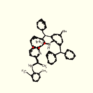 Cc1cccc(C)c1NC(C)c1cccc(C(C)Nc2c(C(c3ccccc3)c3ccccc3)cc(C(C)(C)C)cc2C(c2ccccc2)c2ccccc2)n1